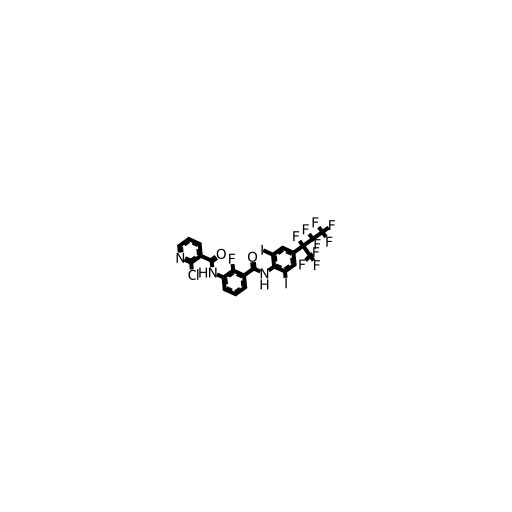 O=C(Nc1cccc(C(=O)Nc2c(I)cc(C(F)(C(F)(F)F)C(F)(F)C(F)(F)F)cc2I)c1F)c1cccnc1Cl